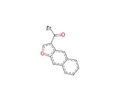 CCC(=O)c1coc2cc3ccccc3cc12